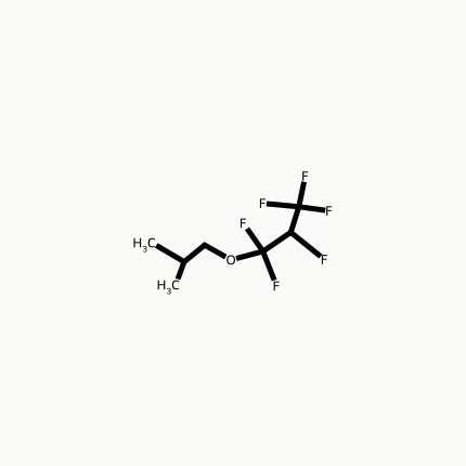 CC(C)COC(F)(F)C(F)C(F)(F)F